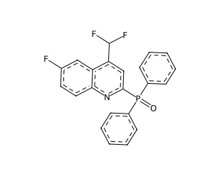 O=P(c1ccccc1)(c1ccccc1)c1cc(C(F)F)c2cc(F)ccc2n1